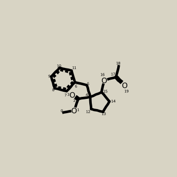 COC(=O)C1(Cc2ccccc2)CCCC1OC(C)=O